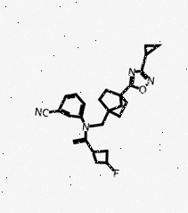 C=C(C1CC(F)C1)N(CC12CCC(c3nc(C4CC4)no3)(CC1)C2)c1cccc(C#N)c1